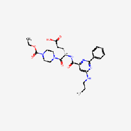 CCCNc1cc(C(=O)N[C@@H](CCC(=O)O)C(=O)N2CCN(C(=O)OCC)CC2)nc(-c2ccccc2)n1